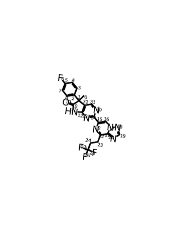 CC1(c2ccc(F)cc2)C(=O)Nc2nc(-c3cn4ncnc4c(CCC(F)(F)F)n3)ncc21